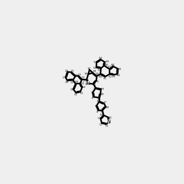 C1=C(c2ccc(-c3ccc(-c4cccnc4)cc3)cc2)N=C(c2cc3ccccc3c3ccccc23)C2CC2=C1c1cc2ccccc2c2ccccc12